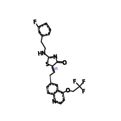 O=C1N=C(NCCc2cccc(F)c2)S/C1=C\Cc1ccc2nccc(OCC(F)(F)F)c2c1